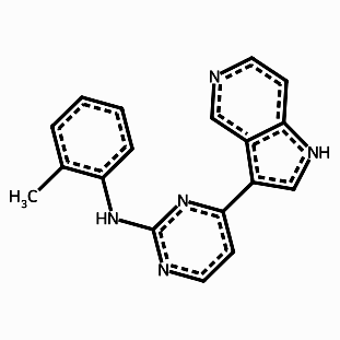 Cc1ccccc1Nc1nccc(-c2c[nH]c3ccncc23)n1